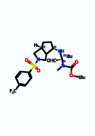 CC[C@H](C)[C@](C=O)(N[C@H]1CC[C@@H]2CN(S(=O)(=O)c3ccc(C(F)(F)F)cc3)CC21)N(C)C(=O)OC(C)(C)C